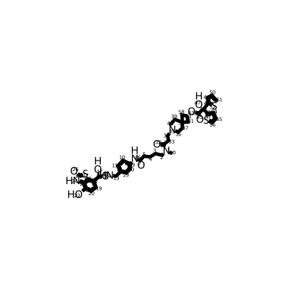 CN(CCCCC(=O)Nc1ccc(CNC[C@H](O)c2ccc(O)c3[nH]c(=O)sc23)cc1)C(=O)CCN1CCC2(CC1)CC(OC(=O)C(O)(c1cccs1)c1cccs1)C2